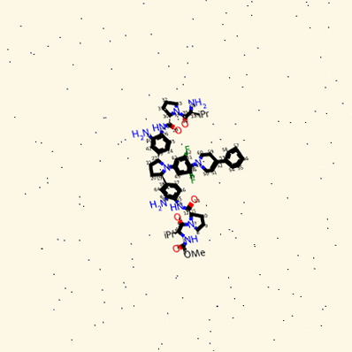 COC(=O)N[C@H](C(=O)N1CCC[C@H]1C(=O)Nc1ccc([C@H]2CC[C@H](c3ccc(NC(=O)[C@@H]4CCCN4C(=O)[C@@H](N)C(C)C)c(N)c3)N2c2cc(F)c(N3CC=C(c4ccccc4)CC3)c(F)c2)cc1N)C(C)C